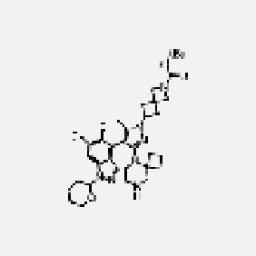 Cc1c(-c2c(Cl)c(Cl)cc3c2cnn3C2CCCCO2)c(N2CCNCC23CCC3)nn1C1CC2(C1)CN(C(=O)OC(C)(C)C)C2